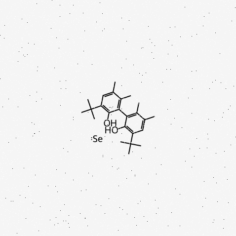 Cc1cc(C(C)(C)C)c(O)c(-c2c(C)c(C)cc(C(C)(C)C)c2O)c1C.[Se]